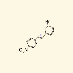 O=[N+]([O-])c1ccc(/C=C/C2=C=C=CC(Br)C2)cc1